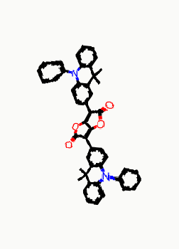 CC1(C)c2ccccc2N(c2ccccc2)c2ccc(C3=C4OC(=O)C(c5ccc6c(c5)C(C)(C)c5ccccc5N6c5ccccc5)=C4OC3=O)cc21